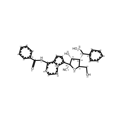 N#C[C@@]1(c2ccc3c(NC(=O)c4ccccc4)ncnn23)OC(CO)[C@@H](C(C(=O)O)c2ccccc2)[C@H]1O